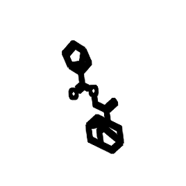 C=C(COC(=O)C1CC2C=CC1C2)C12CC3CC(CC(C3)C1)C2